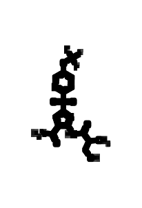 CC(CO)C(=O)Nc1sc(S(=O)(=O)c2ccc(OC(F)(F)F)cn2)cc1C(N)=O